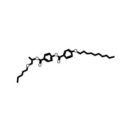 CCCCCCCCCCOc1ccc(C(=O)Oc2ccc(C(=O)OC(C)COCCCCC)cc2)cc1